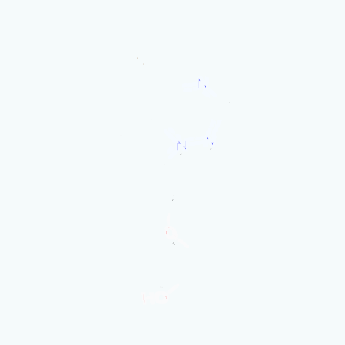 CSc1ncnn2c(C3CCC(CO)O3)ccc12